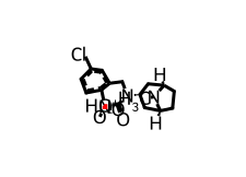 CN1[C@@H]2CC[C@H]1C[C@@H](N(Cc1cc(Cl)ccc1[N+](=O)[O-])C(=O)O)C2